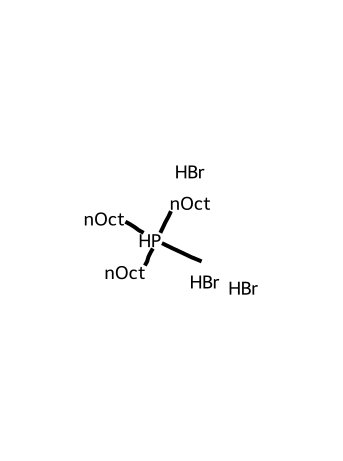 Br.Br.Br.CCCCCCCC[PH](C)(CCCCCCCC)CCCCCCCC